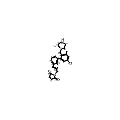 Cc1cc(Cl)cc(-c2ccnc3cc(CN4C(=O)CCC4=O)sc23)c1CN1CCNC[C@H]1C